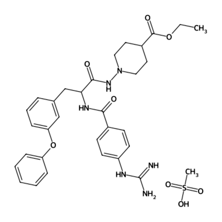 CCOC(=O)C1CCN(NC(=O)C(Cc2cccc(Oc3ccccc3)c2)NC(=O)c2ccc(NC(=N)N)cc2)CC1.CS(=O)(=O)O